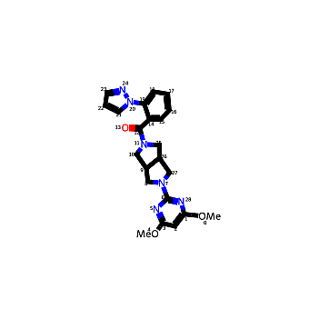 COc1cc(OC)nc(N2CC3CN(C(=O)c4ccccc4-n4cccn4)CC3C2)n1